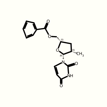 C[C@H]1C[C@@H](COC(=O)c2ccccc2)O[C@H]1n1ccc(=O)[nH]c1=O